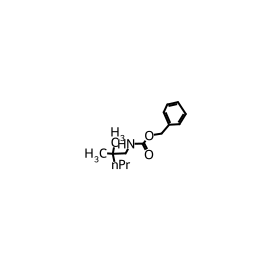 CCCC(C)(C)CNC(=O)OCc1ccccc1